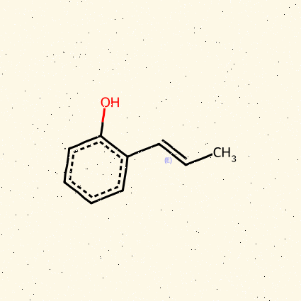 C/C=C/c1ccc[c]c1O